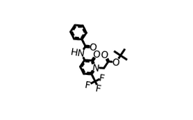 CC(C)(C)OC(=O)Cn1c(C(F)(F)F)ccc(NC(=O)c2ccccc2)c1=O